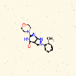 Cc1ccccc1-n1cc2c(=O)[nH]c(N3CCOCC3)nc2n1